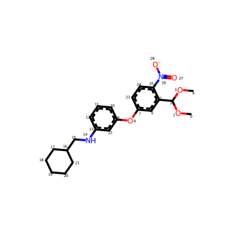 COC(OC)c1cc(Oc2cccc(NCC3CCCCC3)c2)ccc1[N+](=O)[O-]